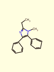 C[CH]c1nc(-c2ccccc2)c(-c2ccccc2)n1C